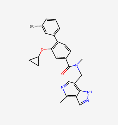 Cc1ncc(CN(C)C(=O)c2ccc(-c3cccc(C#N)c3)c(OC3CC3)c2)c2[nH]ncc12